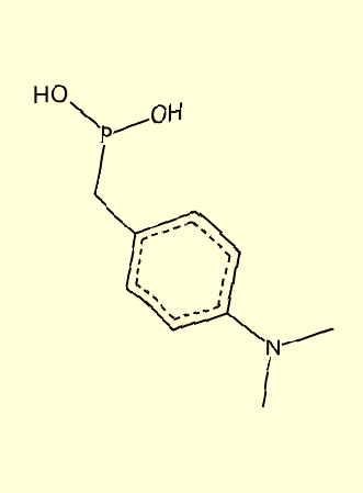 CN(C)c1ccc(CP(O)O)cc1